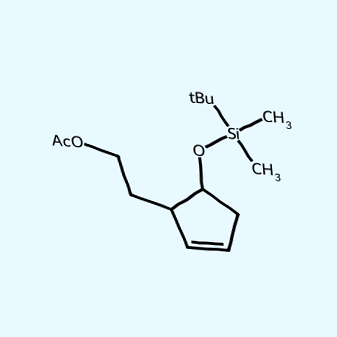 CC(=O)OCCC1C=CCC1O[Si](C)(C)C(C)(C)C